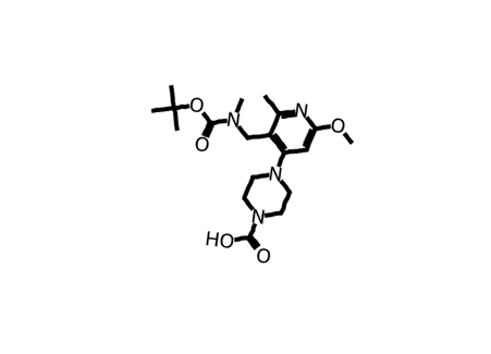 COc1cc(N2CCN(C(=O)O)CC2)c(CN(C)C(=O)OC(C)(C)C)c(C)n1